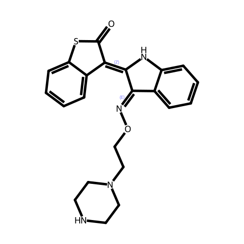 O=C1Sc2ccccc2/C1=C1/Nc2ccccc2/C1=N\OCCN1CCNCC1